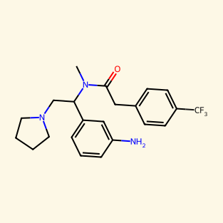 CN(C(=O)Cc1ccc(C(F)(F)F)cc1)C(CN1CCCC1)c1cccc(N)c1